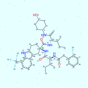 C=C(NC1CCC(O)CC1)[C@@H](NC(=O)[C@@]1(NC(=O)[C@@H](NC(=O)Cc2ccccc2F)C(C)CC)CCc2[nH]c3c(C(F)(F)F)cccc3c2C1)C(C)CC